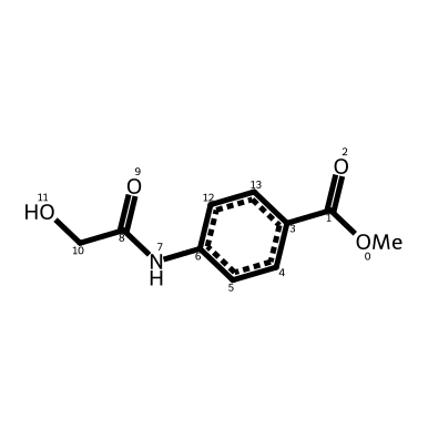 COC(=O)c1ccc(NC(=O)CO)cc1